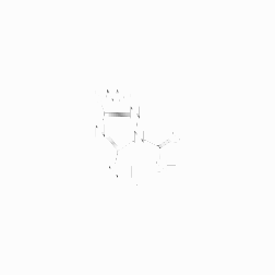 CSc1nc(N)n(C(=S)S)n1